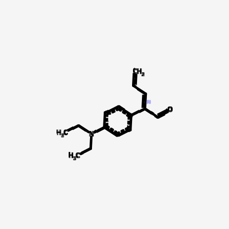 C=C/C=C(/C=O)c1ccc(N(CC)CC)cc1